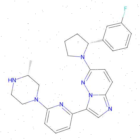 C[C@@H]1CN(c2cccc(-c3cnc4ccc(N5CCC[C@@H]5c5cccc(F)c5)nn34)n2)CCN1